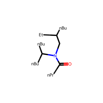 CCCCC(CC)CN(C(=O)CCC)C(CCCC)CCCC